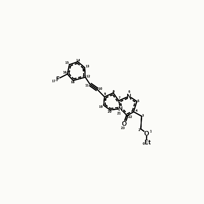 CCOCCc1cnc2cc(C#Cc3cccc(F)c3)ccn2c1=O